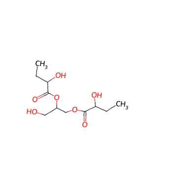 CCC(O)C(=O)OCC(CO)OC(=O)C(O)CC